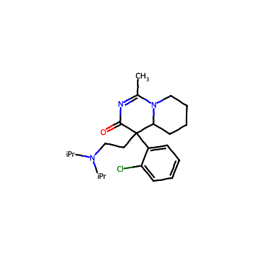 CC1=NC(=O)C(CCN(C(C)C)C(C)C)(c2ccccc2Cl)C2CCCCN12